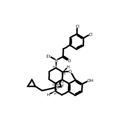 CCN(C(=O)Cc1ccc(Cl)c(Cl)c1)[C@@H]1CC[C@@]2(O)[C@H]3Cc4ccc(O)c5c4[C@@]2(CCN3CC2CC2)[C@H]1O5